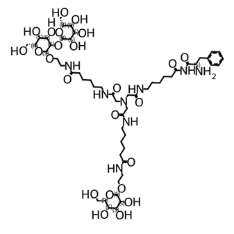 N[C@@H](Cc1ccccc1)C(=O)NC(=O)CCCCCNC(=O)CN(CC(=O)NCCCCCC(=O)NCCO[C@H]1O[C@H](CO)[C@@H](O)[C@H](O)[C@@H]1O)CC(=O)NCCCCCC(=O)NCCO[C@H]1O[C@H](CO)[C@@H](O)[C@H](O)[C@@H]1O[C@H]1O[C@H](CO)[C@@H](O)[C@H](O)[C@@H]1O